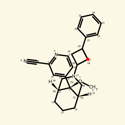 CO[C@]1(c2ccnc(C#N)c2)[C@@H]2CCC[C@H]1CN(C13CC(c4ccccc4)(C1)C3)C2